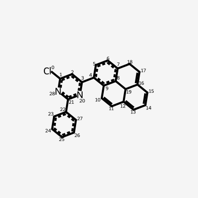 Clc1cc(-c2ccc3c4c2C=CC2=CC=CC(=CC3)C24)nc(-c2ccccc2)n1